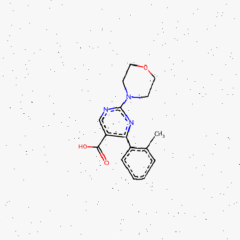 Cc1ccccc1-c1nc(N2CCOCC2)ncc1C(=O)O